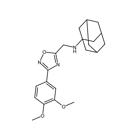 COc1ccc(-c2noc(CNC34CC5CC(CC(C5)C3)C4)n2)cc1OC